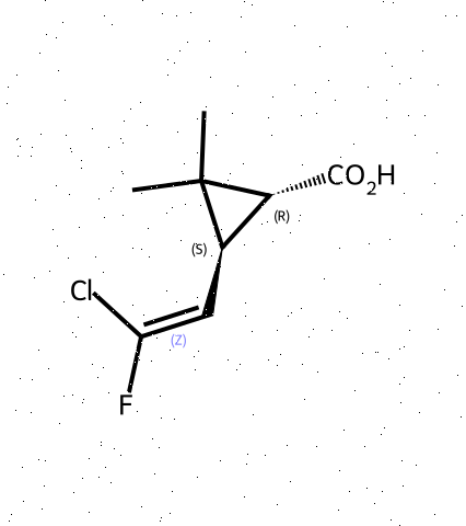 CC1(C)[C@H](/C=C(/F)Cl)[C@H]1C(=O)O